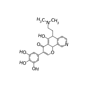 CN(C)CCC1C(O)=C2C(=O)C(c3cc(O)c(O)c(O)c3)=COC2c2cnccc21